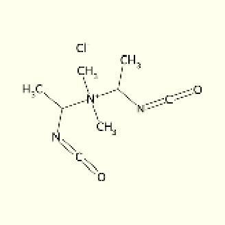 CC(N=C=O)[N+](C)(C)C(C)N=C=O.[Cl-]